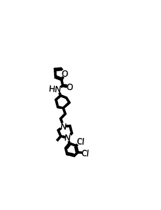 CC1CN(CCC2CCC(NC(=O)c3ccco3)CC2)CCN1c1cccc(Cl)c1Cl